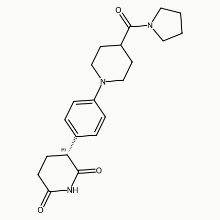 O=C1CC[C@H](c2ccc(N3CCC(C(=O)N4CCCC4)CC3)cc2)C(=O)N1